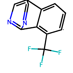 FC(F)(F)c1[c]ccc2c3cnc(nc3)c12